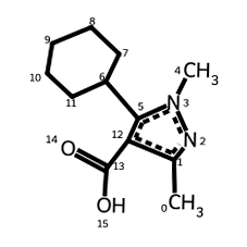 Cc1nn(C)c(C2CCCCC2)c1C(=O)O